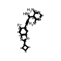 N=C(C#Cc1cc2nc(C3CCC3)sc2cc1F)c1c(N)ncnc1N